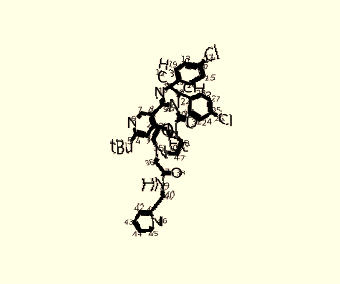 CCOc1cc(C(C)(C)C)ncc1C1=N[C@@](C)(c2ccc(Cl)cc2)[C@@](C)(c2ccc(Cl)cc2)N1C(=O)N1CCN(CC(=O)NCc2ccccn2)CC1